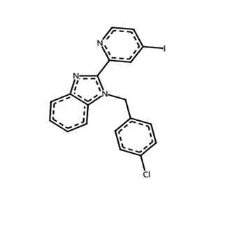 Clc1ccc(Cn2c(-c3cc(I)ccn3)nc3ccccc32)cc1